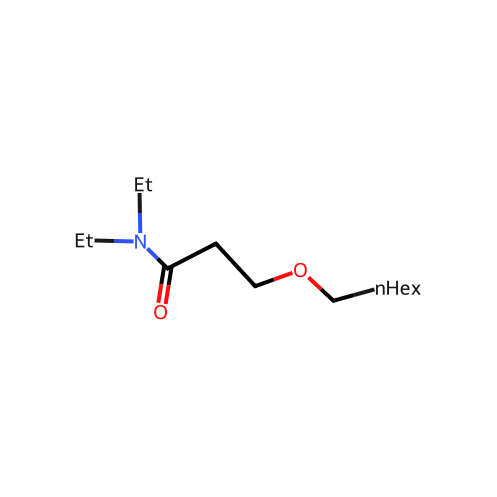 CCCCCCCOCCC(=O)N(CC)CC